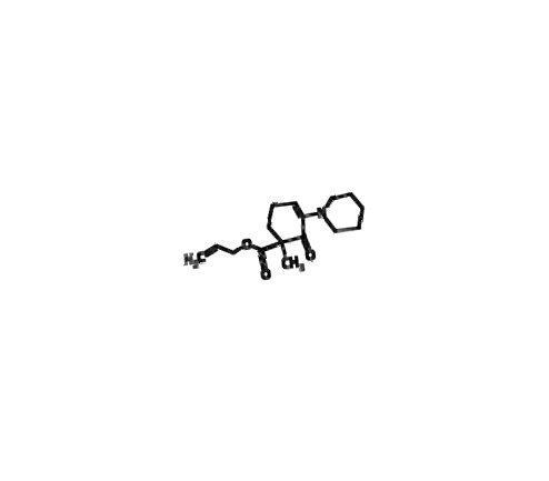 C=CCOC(=O)C1(C)CCC=C(N2CCCCC2)C1=O